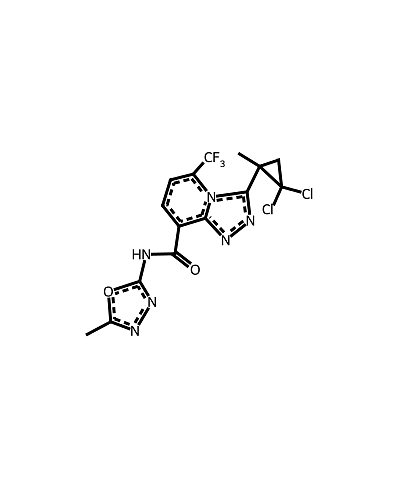 Cc1nnc(NC(=O)c2ccc(C(F)(F)F)n3c(C4(C)CC4(Cl)Cl)nnc23)o1